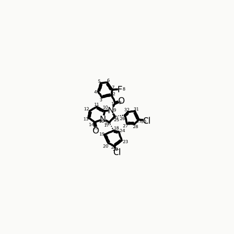 O=C(c1ccccc1F)N1c2cccc(=O)n2[C@@H](c2ccc(Cl)cc2)[C@H]1c1ccc(Cl)cc1